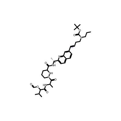 CCCN(CC/C=C/c1ccc2ccc([C@@H](C)NC(=O)C3CCCN(C(=O)C(C)NC(=O)C(OC=O)C(C)C)N3)nc2c1)C(=O)OC(C)(C)C